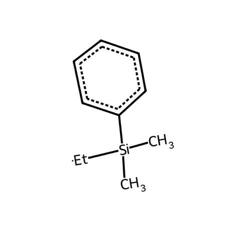 C[CH][Si](C)(C)c1ccccc1